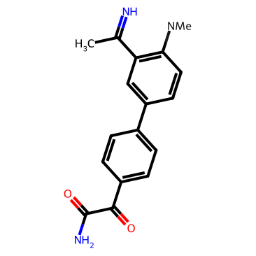 CNc1ccc(-c2ccc(C(=O)C(N)=O)cc2)cc1C(C)=N